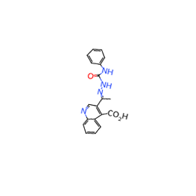 CC(=NNC(=O)Nc1ccccc1)c1cnc2ccccc2c1C(=O)O